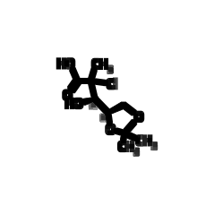 CC1(C)OC[C@H]([C@@H](O)C(C)(Cl)C(=O)O)O1